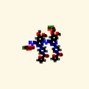 COc1cc2nc(N3CCN(C(=O)C4CCCO4)CC3)nc(N)c2cc1OC.COc1cc2nc(N3CCN(C(=O)C4CCCO4)CC3)nc(N)c2cc1OC.Cl.Cl.O.O.O.O